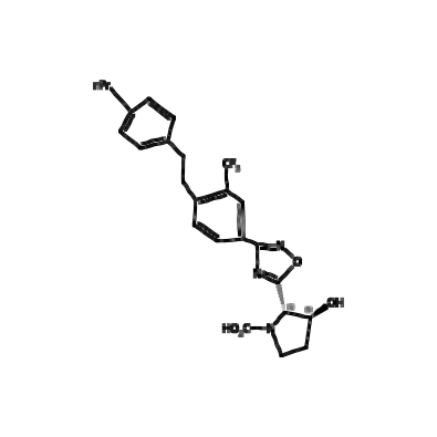 CCCc1ccc(CCc2ccc(-c3noc([C@@H]4[C@@H](O)CCN4C(=O)O)n3)cc2C(F)(F)F)cc1